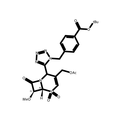 CO[C@H]1C(=O)N2C(c3nnnn3Cc3ccc(C(=O)OC(C)(C)C)cc3)C(COC(C)=O)=CS(=O)(=O)[C@H]12